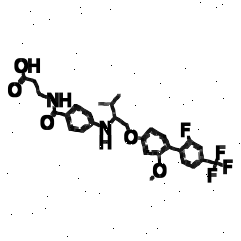 COc1cc(OCC(Nc2ccc(C(=O)NCCC(=O)O)cc2)C(C)C)ccc1-c1ccc(C(F)(F)F)cc1F